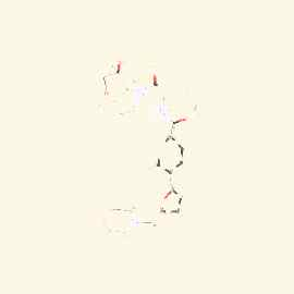 Cc1cc(C(=O)N[C@@H](CC(C)C)C(=O)N2CC[C@H]3OCC(=O)[C@H]32)ccc1-c1ccc(CN2CCOCC2)o1